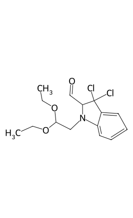 CCOC(CN1c2ccccc2C(Cl)(Cl)C1C=O)OCC